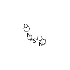 c1cnc2c(c1)CCC2S[C@@H]1CCN(C2CCOCC2)C1